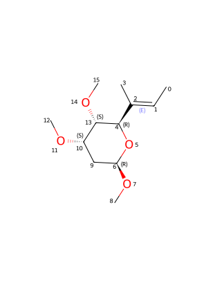 C/C=C(\C)[C@H]1O[C@@H](OC)C[C@H](OC)[C@@H]1OC